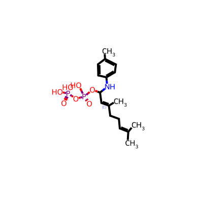 CC(C)=CCC/C(C)=C/C(Nc1ccc(C)cc1)OP(=O)(O)OP(=O)(O)O